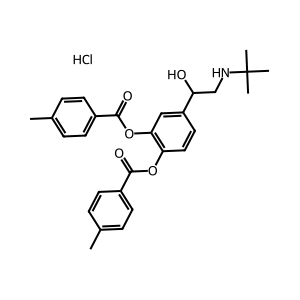 Cc1ccc(C(=O)Oc2ccc(C(O)CNC(C)(C)C)cc2OC(=O)c2ccc(C)cc2)cc1.Cl